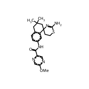 COc1cnc(C(=O)Nc2ccc3c(c2)C2(CCSC(N)=N2)CC(C)(C)C3)cn1